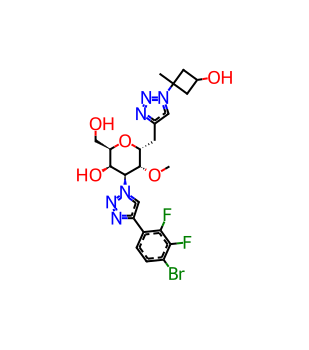 CO[C@@H]1[C@@H](n2cc(-c3ccc(Br)c(F)c3F)nn2)[C@@H](O)[C@@H](CO)O[C@@H]1Cc1cn(C2(C)CC(O)C2)nn1